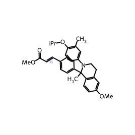 COC(=O)/C=C/c1ccc(C2(C)c3ccc(OC)cc3CCN2c2ccc(OC(C)C)c(C)c2)cc1